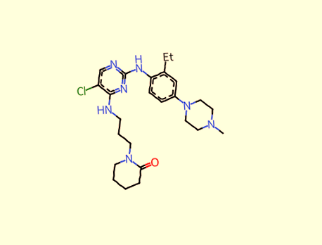 CCc1cc(N2CCN(C)CC2)ccc1Nc1ncc(Cl)c(NCCCN2CCCCC2=O)n1